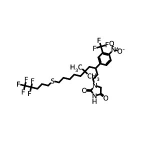 CC(C)(CCCCCSCCCC(F)(F)C(F)(F)F)CC(CCN1CC(=O)NC1=O)c1ccc([N+](=O)[O-])c(C(F)(F)F)c1